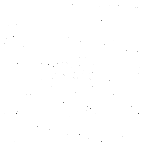 Cc1cccnc1CNC(=O)c1nc(C)c(-c2nc(C(F)(F)F)co2)nc1N